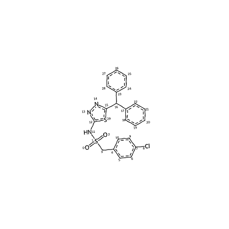 O=S(=O)(Cc1ccc(Cl)cc1)Nc1nnc(C(c2ccccc2)c2ccccc2)s1